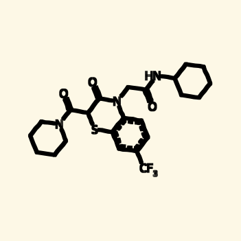 O=C(CN1C(=O)C(C(=O)N2CCCCC2)Sc2cc(C(F)(F)F)ccc21)NC1CCCCC1